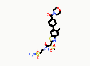 Cc1cc2nc(C(C(=O)NCCS(N)(=O)=O)S(C)(=O)=O)sc2cc1-c1ccc(C(=O)N2CCOCC2)cc1